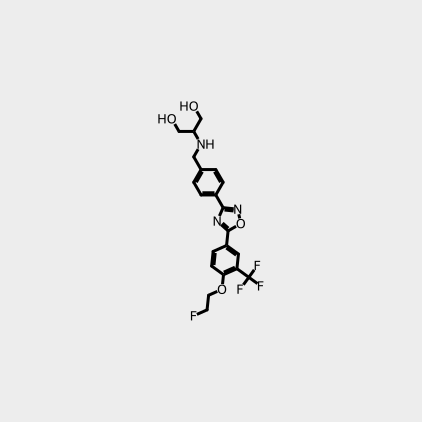 OCC(CO)NCc1ccc(-c2noc(-c3ccc(OCCF)c(C(F)(F)F)c3)n2)cc1